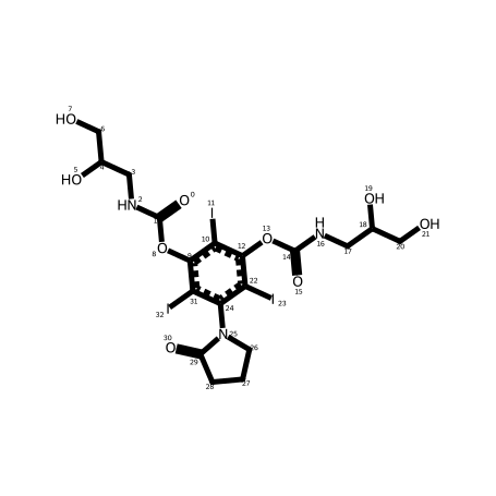 O=C(NCC(O)CO)Oc1c(I)c(OC(=O)NCC(O)CO)c(I)c(N2CCCC2=O)c1I